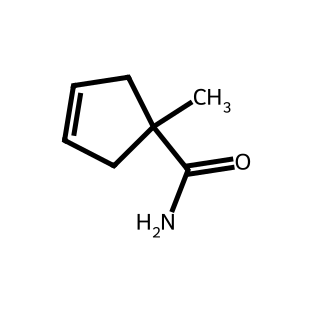 CC1(C(N)=O)CC=CC1